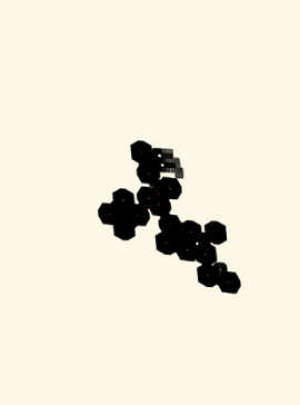 CC1(C)c2ccccc2-c2ccc(N(c3ccc(-c4ccc5c(c4)C4(c6ccccc6-c6ccccc64)c4ccccc4-5)cc3)c3ccccc3-c3cccc(-c4ccc5c(c4)-c4ccc(N(c6ccccc6)c6ccc(-c7cccc8c7oc7ccccc78)cc6)cc4C54c5ccccc5-c5ccccc54)c3)cc21